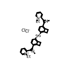 CC[n+]1ccccc1C1=C(c2ccc(SSc3ccc(C4=C(c5cccc[n+]5CC)N4C)c4c3CC4)c3c2CC3)N1C.[Cl-].[Cl-]